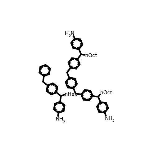 CCCCCCC(c1ccc(N)cc1)c1ccc(Cc2ccccc2)cc1.CCCCCCCCC(c1ccc(N)cc1)c1ccc(Cc2ccc(Cc3ccc(C(CCCCCCCC)c4ccc(N)cc4)cc3)cc2)cc1